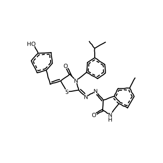 Cc1ccc2c(c1)C(=NN=C1SC(=Cc3ccc(O)cc3)C(=O)N1c1cccc(C(C)C)c1)C(=O)N2